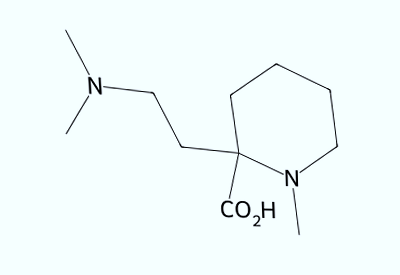 CN(C)CCC1(C(=O)O)CCCCN1C